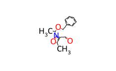 Cc1on(C(C)OCc2ccccc2)c1C=O